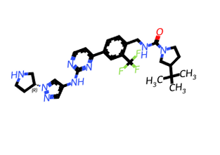 CC(C)(C)C1CCN(C(=O)NCc2ccc(-c3ccnc(Nc4cnn([C@@H]5CCNC5)c4)n3)cc2C(F)(F)F)C1